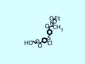 CCC(=O)O/N=C(\C)C(=O)c1ccc(Sc2ccc(C(=O)OCCO)cc2Cl)cc1